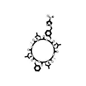 CC(C)C[C@H]1C(=O)O[C@H](Cc2cccc(Cn3cc([N+](=O)[O-])cn3)c2)C(=O)N(C)[C@@H](CC(C)C)C(=O)O[C@H](C)C(=O)N(C)[C@@H](CC(C)C)C(=O)O[C@H](Cc2ccccc2)C(=O)N(C)[C@@H](CC(C)C)C(=O)O[C@H](C)C(=O)N1C